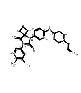 C=CCN1CCC(Oc2ccc(N3C(=S)N(c4cnc(C#N)c(C(F)(F)F)c4)C(=O)C34CCC4)cn2)CC1